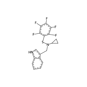 Fc1c(F)c(F)c(SN(Cc2c[nH]c3ccccc23)C2CC2)c(F)c1F